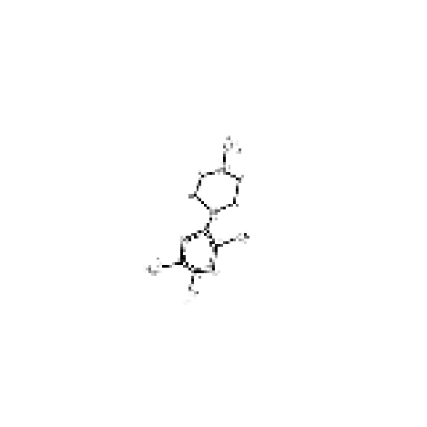 Cc1cc(N2CCN(C)CC2)c(C#N)cc1C(C)C